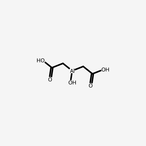 O=C(O)[CH2][Al]([OH])[CH2]C(=O)O